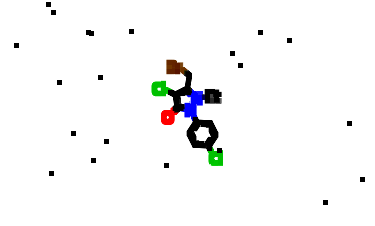 CCn1c(CBr)c(Cl)c(=O)n1-c1ccc(Cl)cc1